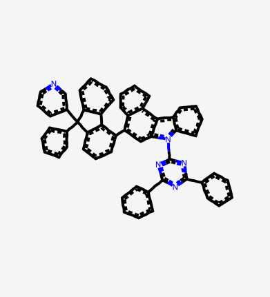 c1ccc(-c2nc(-c3ccccc3)nc(-n3c4ccccc4c4c5ccccc5c(-c5cccc6c5-c5ccccc5C6(c5ccccc5)c5cccnc5)cc43)n2)cc1